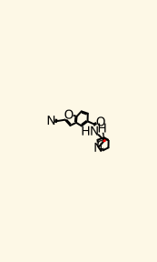 N#Cc1cc2cc(C(=O)N[C@@H]3CC4CCN(CC4)C3)ccc2o1